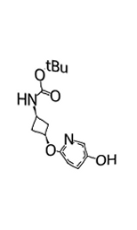 CC(C)(C)OC(=O)N[C@H]1C[C@@H](Oc2ccc(O)cn2)C1